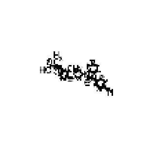 Cn1c(CC(C)(C)C(=O)O)cnc1CN1CC[C@H](n2c(=O)n(-c3ccc(C#N)cc3)c3cccnc32)C1